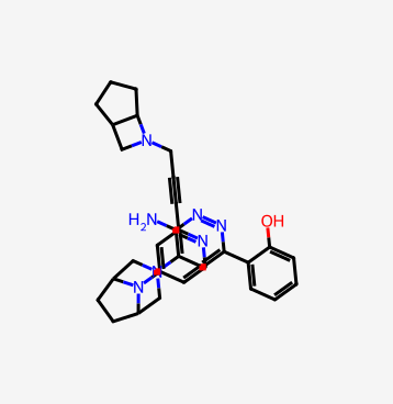 Nc1nnc(-c2ccccc2O)cc1N1CC2CCC(C1)N2c1ccnc(C#CCN2CC3CCCC32)c1